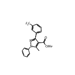 COC(=O)c1c(-c2cccc(C(F)(F)F)c2)nn(-c2ccccc2)c1C